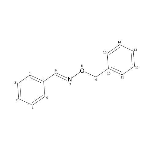 [c]1ccccc1C=NOCc1ccccc1